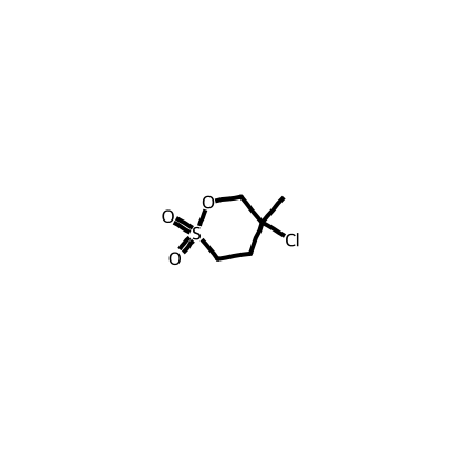 CC1(Cl)CCS(=O)(=O)OC1